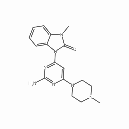 CN1CCN(c2cc(-n3c(=O)n(C)c4ccccc43)nc(N)n2)CC1